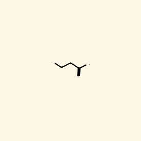 CCCC(=O)CCC(C)(C)C